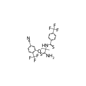 CC(COc1cc(C#N)ccc1C(F)(F)F)(NC(=S)c1ccc(C(F)(F)F)cc1)C(N)=S